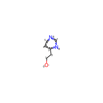 [O]CCc1ccncn1